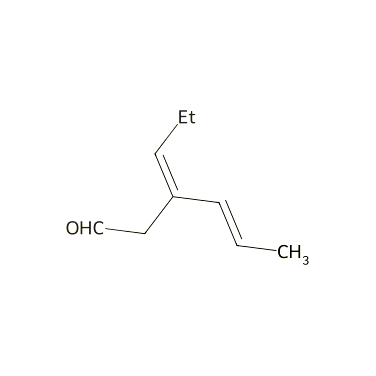 C/C=C/C(=C\CC)CC=O